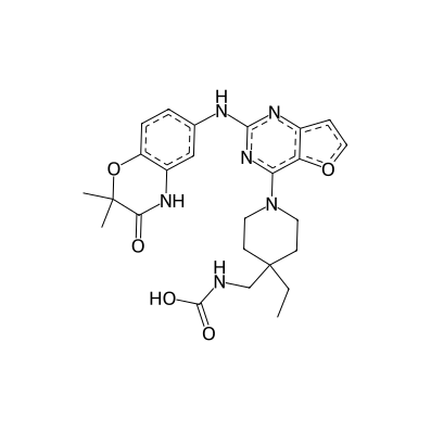 CCC1(CNC(=O)O)CCN(c2nc(Nc3ccc4c(c3)NC(=O)C(C)(C)O4)nc3ccoc23)CC1